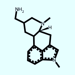 CN1CC(CN)CC2c3cccc4c3c(cn4C)C[C@H]21